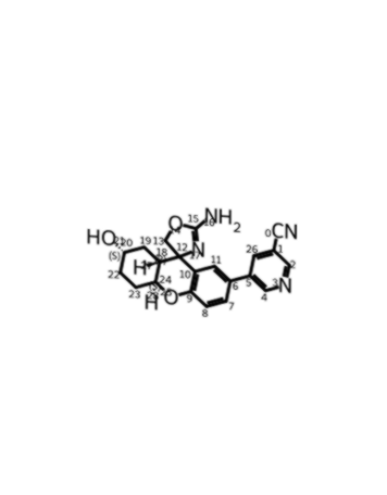 N#Cc1cncc(-c2ccc3c(c2)C2(COC(N)=N2)[C@H]2C[C@@H](O)CC[C@@H]2O3)c1